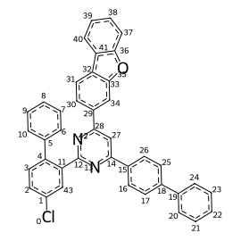 Clc1ccc(-c2ccccc2)c(-c2nc(-c3ccc(-c4ccccc4)cc3)cc(-c3ccc4c(c3)oc3ccccc34)n2)c1